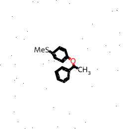 CSc1ccc(OC(C)c2ccccc2)cc1